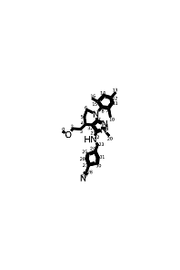 COCCC1CCN(c2c(C)cc(C)cc2C)c2nn(C)c(NCc3ccc(C#N)cc3)c21